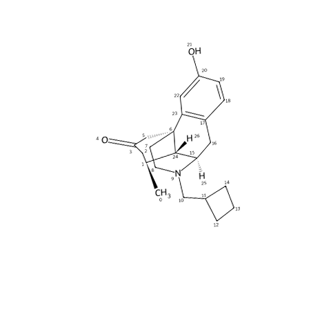 C[C@H]1CC(=O)C[C@]23CCN(CC4CCC4)[C@H](Cc4ccc(O)cc42)[C@H]13